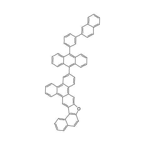 c1cc(-c2ccc3ccccc3c2)cc(-c2c3ccccc3c(-c3ccc4c(c3)c3ccccc3c3cc5c(cc43)oc3ccc4ccccc4c35)c3ccccc23)c1